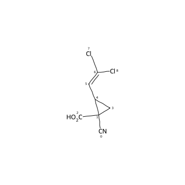 N#CC1(C(=O)O)CC1C=C(Cl)Cl